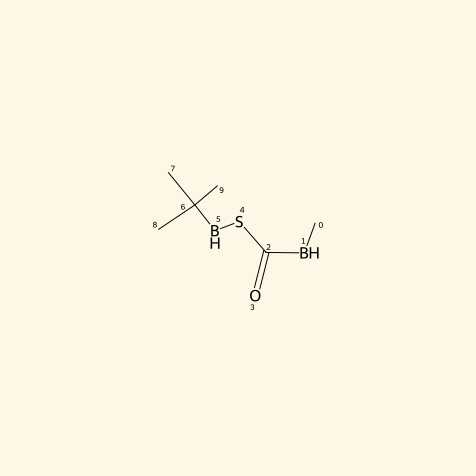 CBC(=O)SBC(C)(C)C